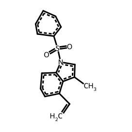 C=Cc1cccc2c1c(C)cn2S(=O)(=O)c1ccccc1